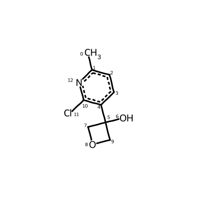 Cc1ccc(C2(O)COC2)c(Cl)n1